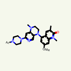 COc1cc(N2CCN(C)c3cc(N4CCN(C(C)=O)CC4)ncc32)c2cc(C)c(=O)n(C)c2c1